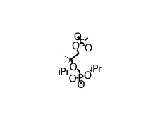 CC(C)OP(=O)(CO[C@H](C)COS(C)(=O)=O)OC(C)C